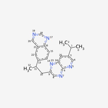 CC(C)c1cnc2ncc(CC(C)c3ccc4ncncc4c3)nc2c1